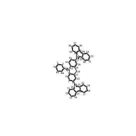 c1ccc(N2c3ccc(-n4c5ccccc5c5ccccc54)cc3Cc3cc(-n4c5ccccc5c5ccccc54)ccc32)cc1